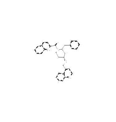 O=C(c1ccc2ccccc2n1)N1CCC(NCc2ccnc3ccccc23)CC1Cc1ccccc1